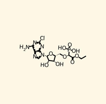 CCOC(=O)[C@H](OC[C@H]1O[C@@H](n2cnc3c(N)nc(Cl)nc32)[C@H](O)[C@H]1O)P(=O)(O)O